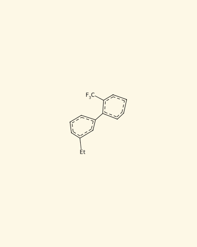 CCc1cccc(-c2ccccc2C(F)(F)F)c1